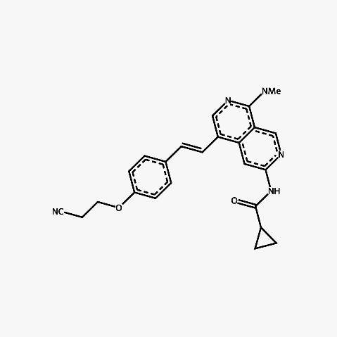 CNc1ncc(/C=C/c2ccc(OCCC#N)cc2)c2cc(NC(=O)C3CC3)ncc12